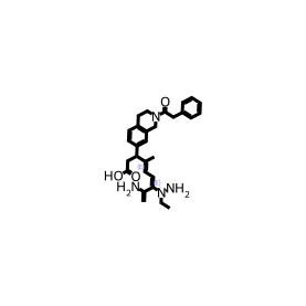 C=C(N)/C(=C\C=C(/C)C(CC(=O)O)c1ccc2c(c1)CN(C(=O)Cc1ccccc1)CC2)N(N)CC